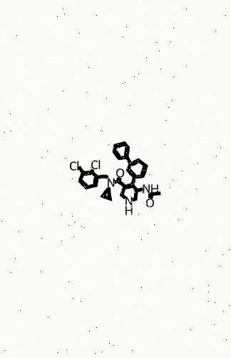 CC(=O)NC1CNCC(C(=O)N(Cc2cccc(Cl)c2Cl)C2CC2)=C1c1cccc(-c2ccccc2)c1